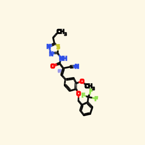 CCc1nnc(NC(=O)/C(C#N)=C/c2ccc(OCc3ccccc3C(F)(F)F)c(OC)c2)s1